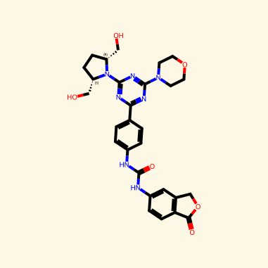 O=C(Nc1ccc(-c2nc(N3CCOCC3)nc(N3[C@H](CO)CC[C@@H]3CO)n2)cc1)Nc1ccc2c(c1)COC2=O